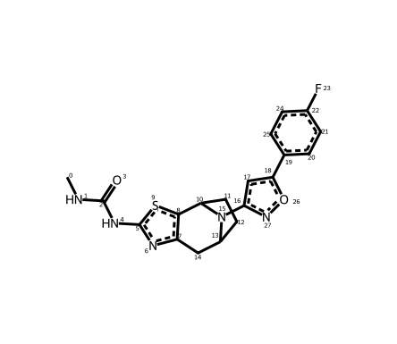 CNC(=O)Nc1nc2c(s1)C1CCC(C2)N1c1cc(-c2ccc(F)cc2)on1